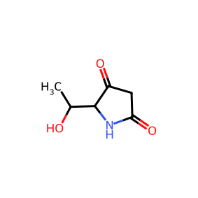 CC(O)C1NC(=O)CC1=O